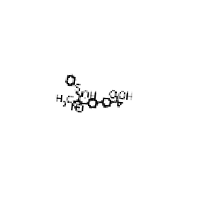 Cc1noc(-c2ccc(-c3ccc(C4(C(=O)O)CC4)cc3)cc2)c1C(O)CSc1ccccc1